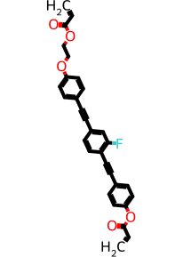 C=CC(=O)OCCOc1ccc(C#Cc2ccc(C#Cc3ccc(OC(=O)C=C)cc3)c(F)c2)cc1